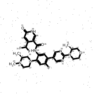 C[C@H]1CN(c2cc(F)c(-c3cnc(N4CCOC[C@@H]4C)nc3)cc2NC(=O)c2c[nH]c(=O)cc2C(F)F)CCN1C